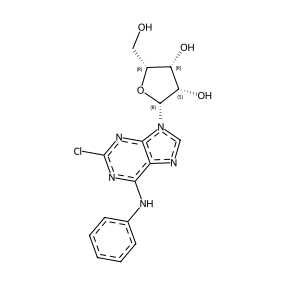 OC[C@H]1O[C@@H](n2cnc3c(Nc4ccccc4)nc(Cl)nc32)[C@@H](O)[C@H]1O